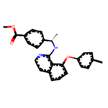 COC(=O)c1ccc([C@H](C)Nc2nccc3cccc(Oc4ccc(C)cc4)c23)cc1